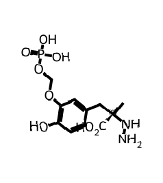 C[C@@](Cc1ccc(O)c(OCOP(=O)(O)O)c1)(NN)C(=O)O